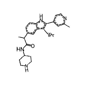 Cc1cc(-c2[nH]c3ccc(C(C)C(=O)NC4CCNCC4)cc3c2C(C)C)ccn1